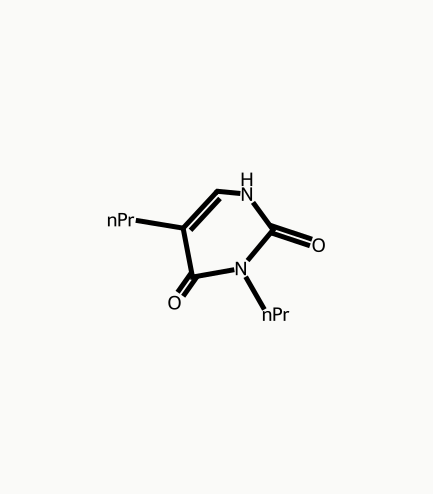 CCCc1c[nH]c(=O)n(CCC)c1=O